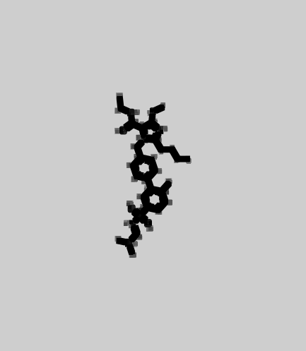 CCCCc1nc(SC)c(C(=O)OCC)n1Cc1ccc(-c2cc(S(=O)(=O)/N=C/N(C)C)ccc2C)cc1